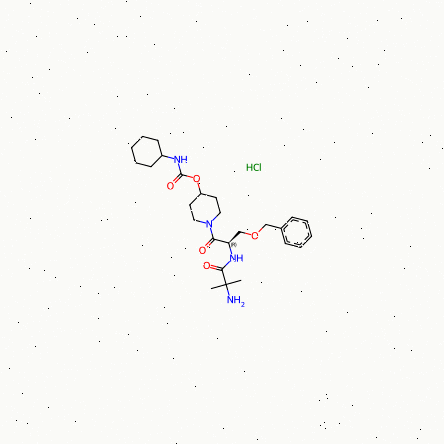 CC(C)(N)C(=O)N[C@H](COCc1ccccc1)C(=O)N1CCC(OC(=O)NC2CCCCC2)CC1.Cl